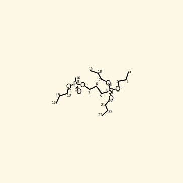 CCCO[Si](CCCOP(C)(=O)OCCC)(OCCC)OCCC